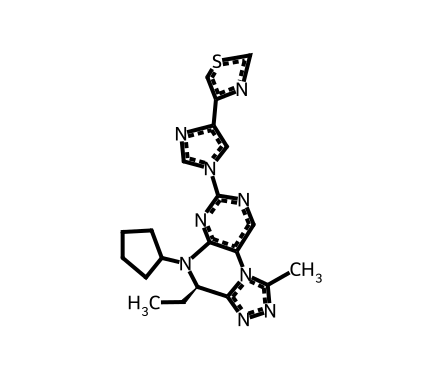 CC[C@@H]1c2nnc(C)n2-c2cnc(-n3cnc(-c4cscn4)c3)nc2N1C1CCCC1